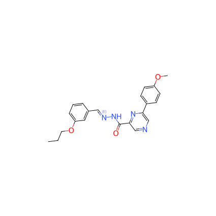 CCCOc1cccc(/C=N/NC(=O)c2cncc(-c3ccc(OC)cc3)n2)c1